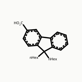 CCCCCCC1(CCCCCC)c2ccccc2-c2cc(C(=O)O)ccc21